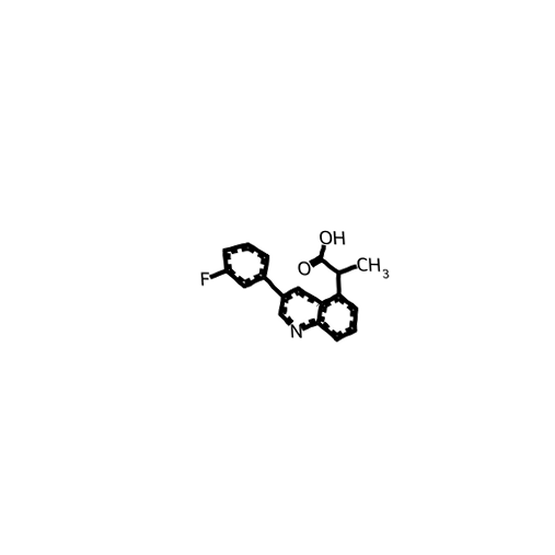 CC(C(=O)O)c1cccc2ncc(-c3cccc(F)c3)cc12